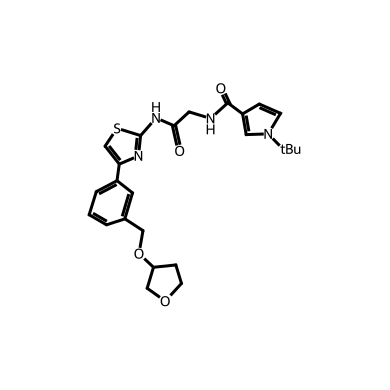 CC(C)(C)n1ccc(C(=O)NCC(=O)Nc2nc(-c3cccc(COC4CCOC4)c3)cs2)c1